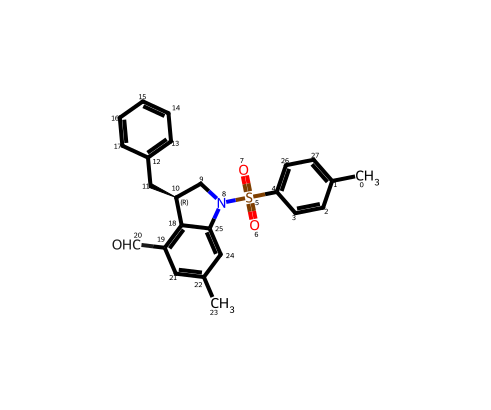 Cc1ccc(S(=O)(=O)N2C[C@H](Cc3ccccc3)c3c(C=O)cc(C)cc32)cc1